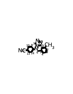 Cc1cccc(CN(c2ccc(C#N)cc2)n2cnnc2)c1